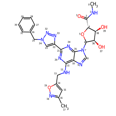 CNC(=O)[C@H]1OC(n2cnc3c(NCc4cc(C)no4)nc(-c4cn(Cc5ccccc5)nn4)nc32)[C@H](O)[C@@H]1O